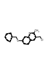 Cc1nc2cc(OCc3ccccc3)ccc2cc1CCl